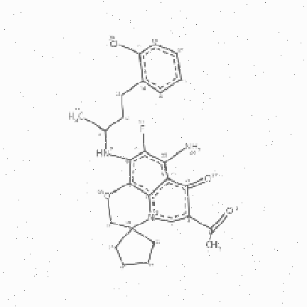 CC(=O)c1cn2c3c(c(NC(C)CCc4ccccc4Cl)c(F)c(N)c3c1=O)OCC21CCCC1